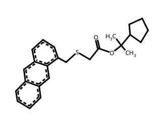 CC(C)(OC(=O)CSCc1cccc2cc3ccccc3cc12)C1CCCC1